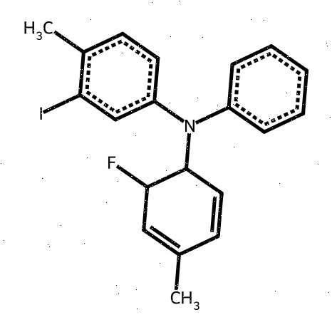 CC1=CC(F)C(N(c2ccccc2)c2ccc(C)c(I)c2)C=C1